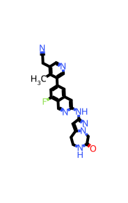 Cc1c(CC#N)cncc1-c1cc(F)c2cnc(Nc3cc4n(n3)CC(=O)NCC4)cc2c1